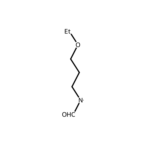 CCOCCC[N]C=O